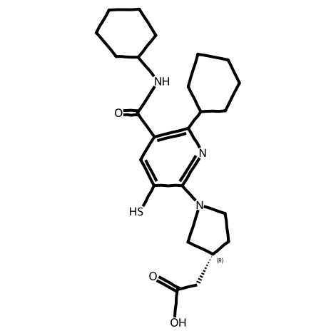 O=C(O)C[C@H]1CCN(c2nc(C3CCCCC3)c(C(=O)NC3CCCCC3)cc2S)C1